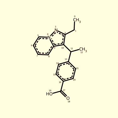 CCc1nn2ccccc2c1C(C)c1ccc(C(=O)O)cc1